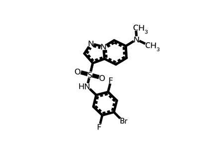 CN(C)c1ccc2c(S(=O)(=O)Nc3cc(F)c(Br)cc3F)cnn2c1